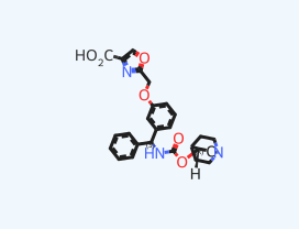 O=C(N[C@@H](c1ccccc1)c1cccc(OCc2nc(C(=O)O)co2)c1)O[C@H]1CN2CCC1CC2